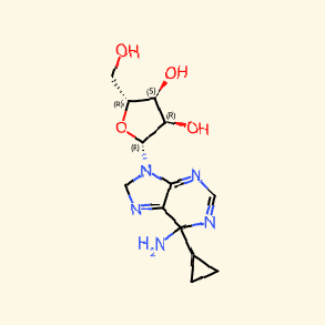 NC1(C2CC2)N=CN=C2C1=NCN2[C@@H]1O[C@H](CO)[C@@H](O)[C@H]1O